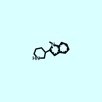 Cn1c(C2CCCNC2)cc2ccccc21